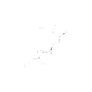 CCOC(=O)[C@@]1(C)C[C@H](NNC(=O)OC(C)(C)C)C[C@@H]1CC